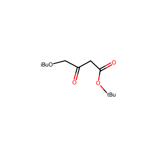 CC(C)COCC(=O)CC(=O)OC(C)(C)C